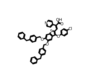 O=C(O)/C(=C/c1sc2cc(OCc3ccc(Cc4ccccc4)cc3)c(OCc3ccc(Cc4ccccc4)cc3)cc2c1Oc1ccc(Cl)cc1)c1ccncc1